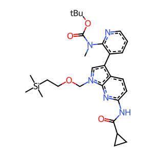 CN(C(=O)OC(C)(C)C)c1ncccc1-c1cn(COCC[Si](C)(C)C)c2nc(NC(=O)C3CC3)ccc12